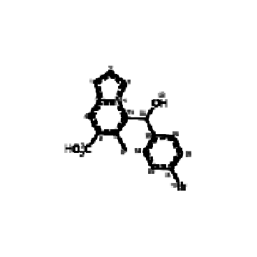 Cc1c(C(=O)O)cc2cccn2c1C(O)c1ccc(Br)cc1